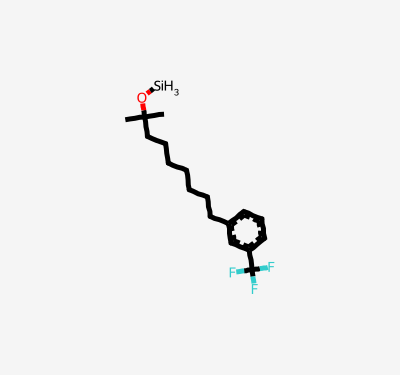 CC(C)(CCCCCCCc1cccc(C(F)(F)F)c1)O[SiH3]